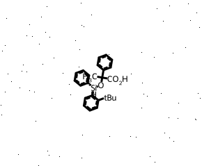 CC(C)(C)c1ccccc1[SiH](OC(C)(C(=O)O)c1ccccc1)c1ccccc1